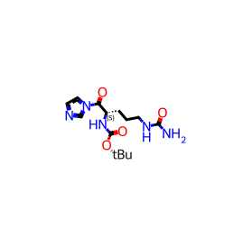 CC(C)(C)OC(=O)N[C@@H](CCCNC(N)=O)C(=O)n1ccnc1